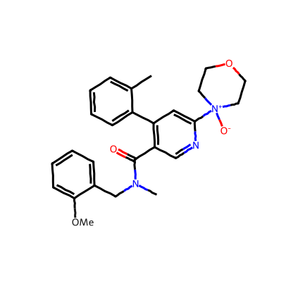 COc1ccccc1CN(C)C(=O)c1cnc([N+]2([O-])CCOCC2)cc1-c1ccccc1C